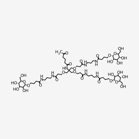 CC(=O)CCCC(=O)NC(COCCC(=O)NCCCNC(=O)CCCO[C@@H]1OC(CO)[C@@H](O)C(O)C1O)(COCCC(=O)NCCCNC(=O)CCCO[C@@H]1OC(CO)[C@@H](O)C(O)C1O)COCCC(=O)NCCCNC(=O)CCCO[C@@H]1OC(CO)[C@@H](O)C(O)C1O